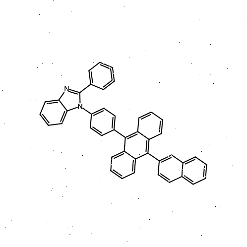 C1=C=CC(c2nc3ccccc3n2-c2ccc(-c3c4ccccc4c(-c4ccc5ccccc5c4)c4ccccc34)cc2)=CC=1